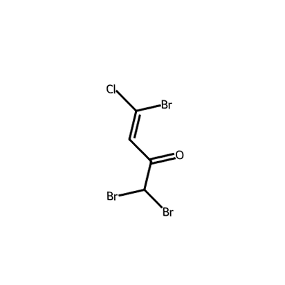 O=C(C=C(Cl)Br)C(Br)Br